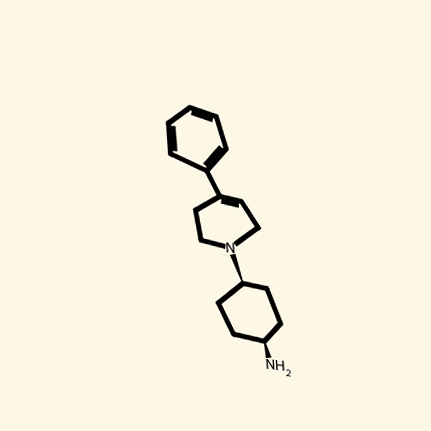 N[C@H]1CC[C@@H](N2CC=C(c3ccccc3)CC2)CC1